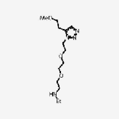 CCNCCOCCOCCn1nncc1CCOC